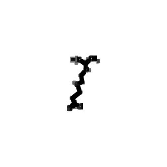 CC(C)OCCOCCC(=O)Cl